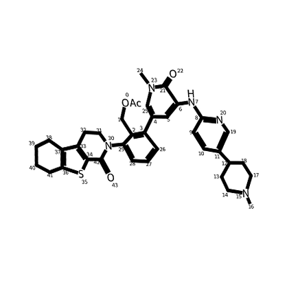 CC(=O)OCc1c(-c2cc(Nc3ccc(C4CCN(C)CC4)cn3)c(=O)n(C)c2)cccc1N1CCc2c(sc3c2CCCC3)C1=O